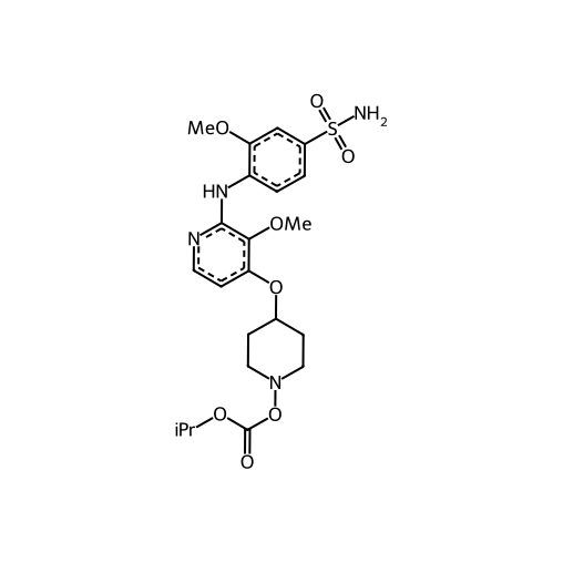 COc1cc(S(N)(=O)=O)ccc1Nc1nccc(OC2CCN(OC(=O)OC(C)C)CC2)c1OC